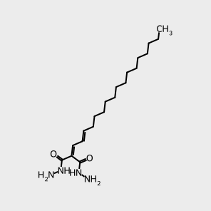 CCCCCCCCCCCCCCC=CC=C(C(=O)NN)C(=O)NN